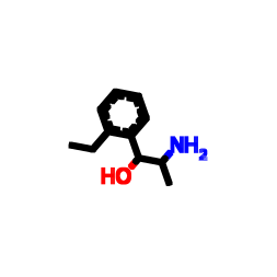 CCc1ccccc1C(O)C(C)N